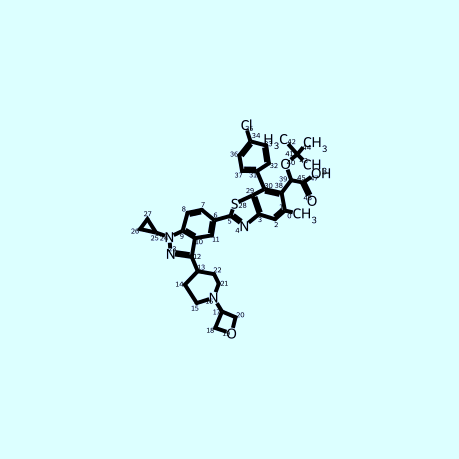 Cc1cc2nc(-c3ccc4c(c3)c(C3CCN(C5COC5)CC3)nn4C3CC3)sc2c(-c2ccc(Cl)cc2)c1C(OC(C)(C)C)C(=O)O